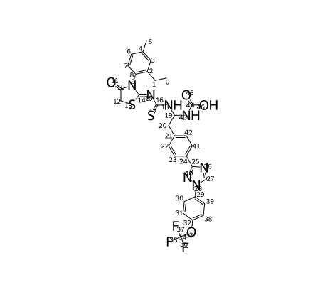 CCc1cc(C)ccc1N1C(=O)CS/C1=N\C(=S)NC(Cc1ccc(-c2ncn(-c3ccc(OC(F)(F)F)cc3)n2)cc1)NC(=O)O